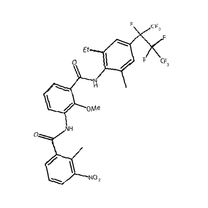 CCc1cc(C(F)(C(F)(F)F)C(F)(F)C(F)(F)F)cc(C)c1NC(=O)c1cccc(NC(=O)c2cccc([N+](=O)[O-])c2C)c1OC